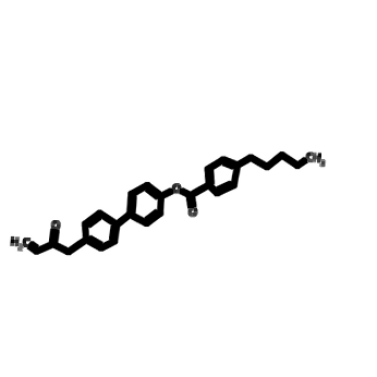 C=CC(=O)Cc1ccc(-c2ccc(OC(=O)c3ccc(CCCCC)cc3)cc2)cc1